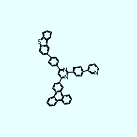 c1cncc(-c2ccc(-c3nc(-c4ccc(-c5ccc6sc7ccccc7c6c5)cc4)cc(-c4ccc5c6ccccc6c6ccccc6c5c4)n3)cc2)c1